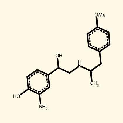 COc1ccc(CC(C)NCC(O)c2ccc(O)c(N)c2)cc1